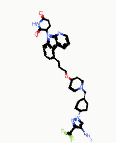 Nc1cn([C@H]2CC[C@H](CN3CCC(OCCCc4cccc5c4c4cccnc4n5C4CCC(=O)NC4=O)CC3)CC2)nc1C(F)F